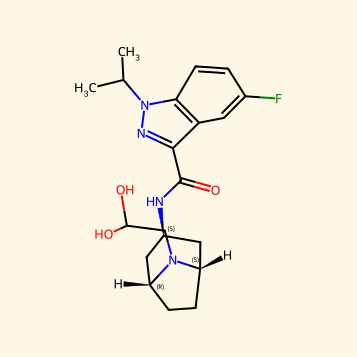 CC(C)n1nc(C(=O)N[C@@H]2C[C@H]3CC[C@@H](C2)N3CC(O)O)c2cc(F)ccc21